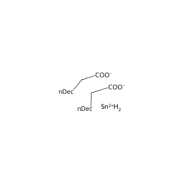 CCCCCCCCCCCC(=O)[O-].CCCCCCCCCCCC(=O)[O-].[SnH2+2]